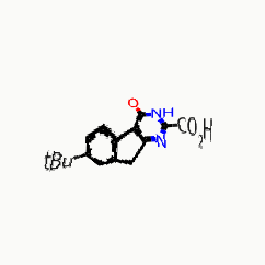 CC(C)(C)c1ccc2c(c1)Cc1nc(C(=O)O)[nH]c(=O)c1-2